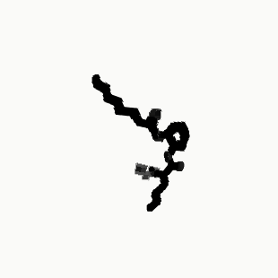 CCCCCCCCC(=O)Oc1ccccc1OC(=O)C(N)CCCC